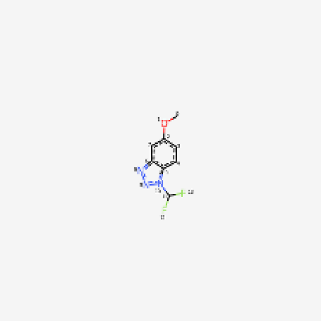 COc1ccc2c(c1)nnn2C(F)F